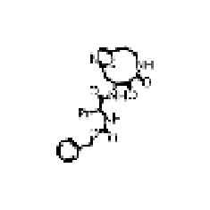 CC(C)C(NC(=O)OCc1ccccc1)C(=O)NC1Cc2ncc(s2)CCNC(=O)C1=O